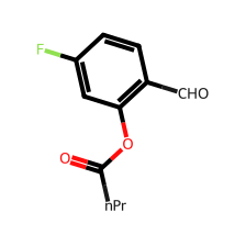 CCCC(=O)Oc1cc(F)ccc1C=O